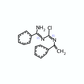 C=C(/N=C(Cl)\N=C(/N)c1ccccc1)c1ccccc1